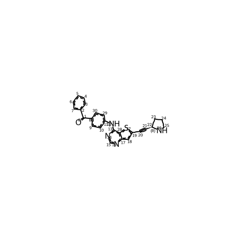 O=C(c1ccccc1)c1ccc(Nc2ncnc3cc(C#C[C@H]4CCCN4)sc23)cc1